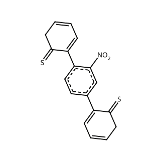 O=[N+]([O-])c1cc(C2=CC=CCC2=S)ccc1C1=CC=CCC1=S